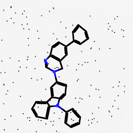 C1=Nc2ccc(-c3ccccc3)cc2CN1c1ccc2c(c1)c1ccccc1n2-c1ccccc1